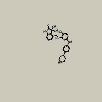 CC1(C)C(=O)Nc2cccc(CNc3nc(Nc4ccc(C5CCNCC5)cc4)ncc3Cl)c21